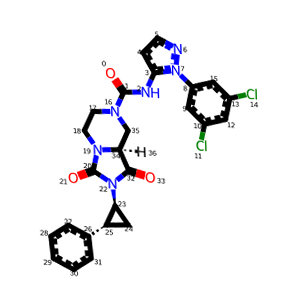 O=C(Nc1ccnn1-c1cc(Cl)cc(Cl)c1)N1CCN2C(=O)N([C@H]3C[C@@H]3c3ccccc3)C(=O)[C@@H]2C1